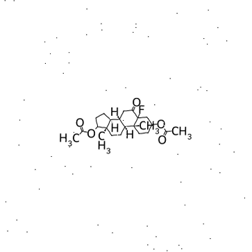 CC(=O)OC1CC[C@]2(C)[C@@H]3CC[C@]4(C)C(OC(C)=O)CC[C@H]4[C@@H]3CC(=O)C2(F)C1